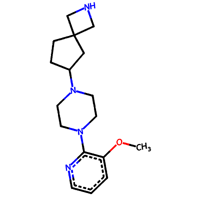 COc1cccnc1N1CCN(C2CCC3(CNC3)C2)CC1